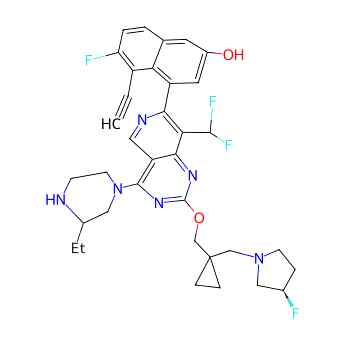 C#Cc1c(F)ccc2cc(O)cc(-c3ncc4c(N5CCNC(CC)C5)nc(OCC5(CN6CC[C@@H](F)C6)CC5)nc4c3C(F)F)c12